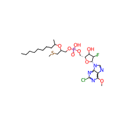 CCCCCCCCC(C)OC(COP(=O)(O)OC[C@H]1O[C@@H](n2cnc3c(OC)nc(Cl)nc32)C(F)C1O)CSC